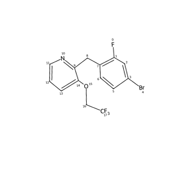 Fc1cc(Br)ccc1Cc1ncccc1OCC(F)(F)F